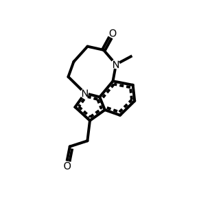 CN1C(=O)CCCn2cc(CC=O)c3cccc1c32